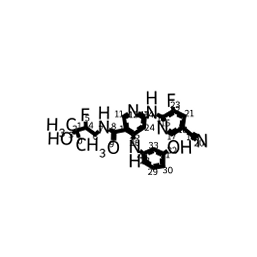 CC(C)(O)C(F)CNC(=O)c1cnc(Nc2ncc(C#N)cc2F)cc1Nc1cccc(O)c1